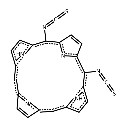 S=C=Nc1c2nc(c(N=C=S)c3ccc(cc4nc(cc5ccc1[nH]5)C=C4)[nH]3)C=C2